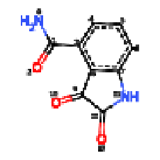 NC(=O)c1cccc2c1C(=O)C(=O)N2